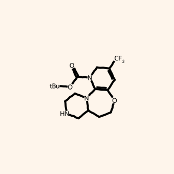 CC(C)(C)OC(=O)N1CC(C(F)(F)F)=CC2=C1N1CCNCC1CCO2